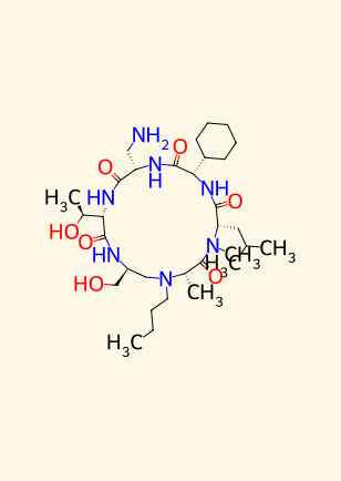 CCCCN1C[C@@H](CO)NC(=O)[C@H]([C@H](C)O)NC(=O)[C@H](CN)NC(=O)[C@H](C2CCCCC2)NC(=O)[C@H](CC(C)C)N(C)C(=O)[C@@H]1C